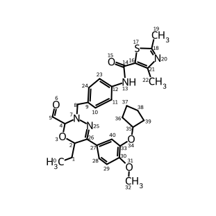 CCC1OC(C=O)N(Cc2ccc(NC(=O)c3sc(C)nc3C)cc2)N=C1c1ccc(OC)c(OC2CCCC2)c1